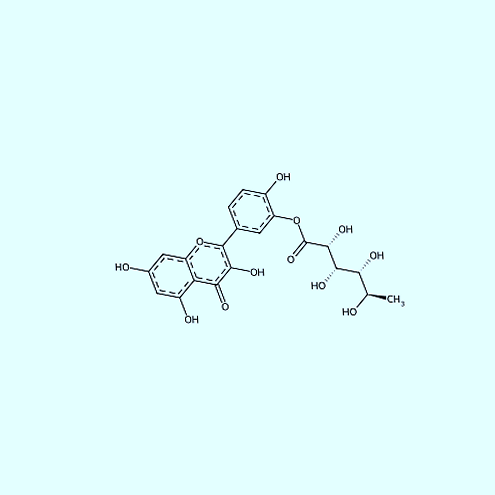 C[C@@H](O)[C@@H](O)[C@H](O)[C@@H](O)C(=O)Oc1cc(-c2oc3cc(O)cc(O)c3c(=O)c2O)ccc1O